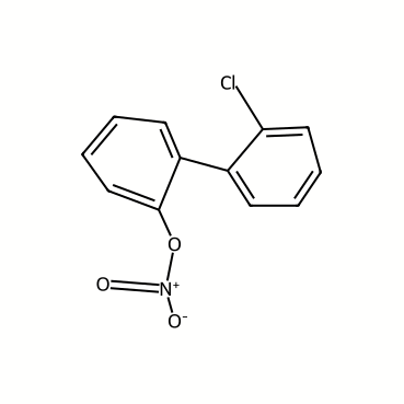 O=[N+]([O-])Oc1ccccc1-c1ccccc1Cl